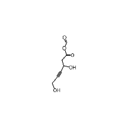 O=COC(=O)CC(O)C#CCO